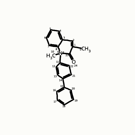 CC1=Cc2ccccc2[N+](C)(c2ccc(-c3ccccc3)cc2)C1=O